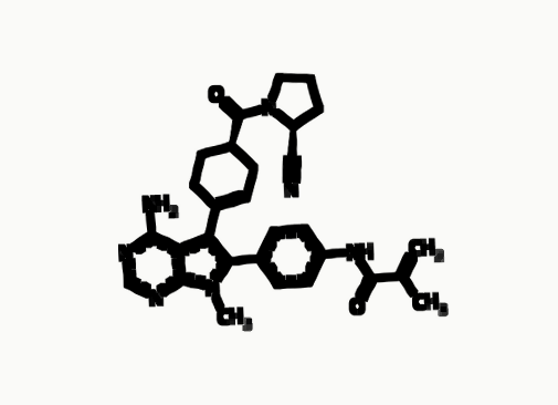 C=C(C)C(=O)Nc1ccc(-c2c(C3=CC[C@H](C(=O)N4CCC[C@H]4C#N)CC3)c3c(N)ncnc3n2C)cc1